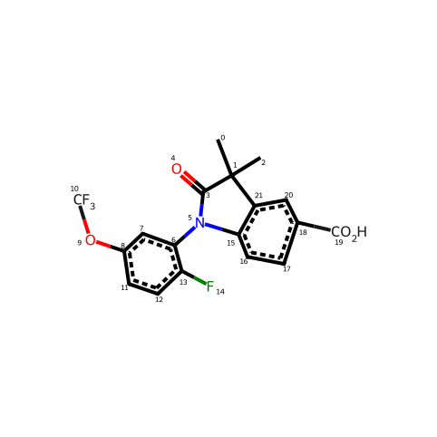 CC1(C)C(=O)N(c2cc(OC(F)(F)F)ccc2F)c2ccc(C(=O)O)cc21